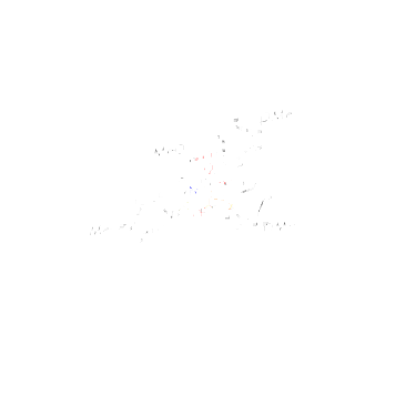 COC(=O)CN(Sc1ccc(OC)cc1)C(Oc1ccc(OC)cc1)(Oc1ccc(OC)cc1)[PH2]=O